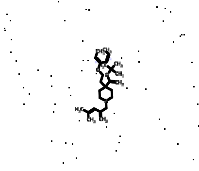 C=C(C=C(C)C)CN1CCC(CCOC(/C=C\C)=C/C)(C(=C)OC(C)(C)C)CC1